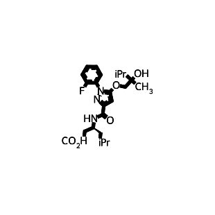 CC(C)C[C@@H](CC(=O)O)NC(=O)c1cc(OCC(C)(O)C(C)C)n(-c2ccccc2F)n1